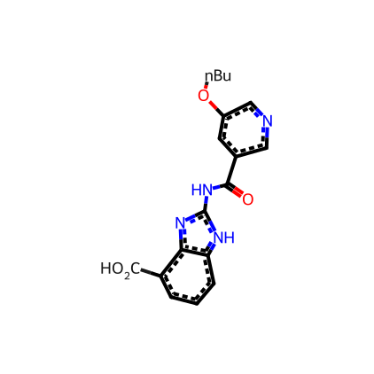 CCCCOc1cncc(C(=O)Nc2nc3c(C(=O)O)cccc3[nH]2)c1